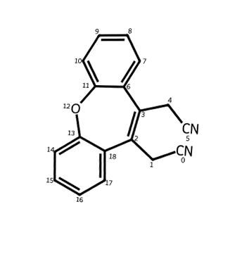 N#CCC1=C(CC#N)c2ccccc2Oc2ccccc21